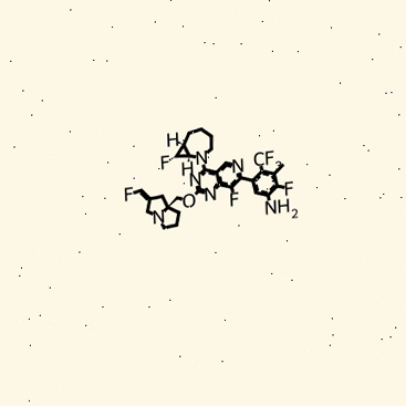 Cc1c(F)c(N)cc(-c2ncc3c(N4CCCC[C@@H]5[C@@H](F)[C@@H]54)nc(OC[C@@]45CCCN4C/C(=C\F)C5)nc3c2F)c1C(F)(F)F